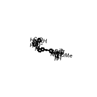 COC(=O)N[C@H](C(=O)N1[C@@H]2C[C@H]2C[C@H]1c1nc2cc(C#Cc3ccc4c(ccc5nc([C@@H]6C[C@H]7C[C@H]7N6C(=O)[C@@H](NC(=O)O)C6CCOCC6)[nH]c54)c3)ccc2[nH]1)C(C)C